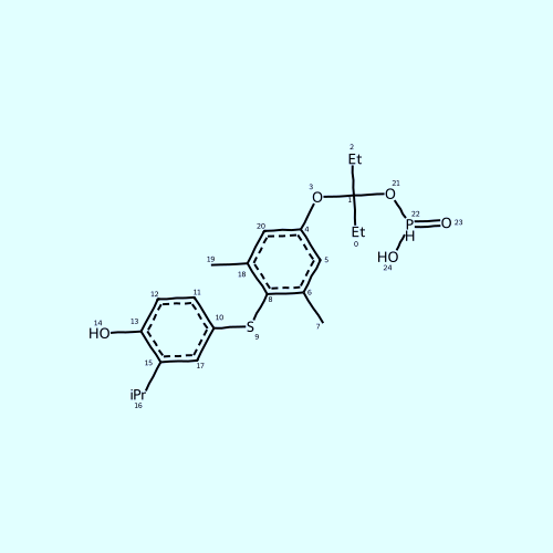 CCC(CC)(Oc1cc(C)c(Sc2ccc(O)c(C(C)C)c2)c(C)c1)O[PH](=O)O